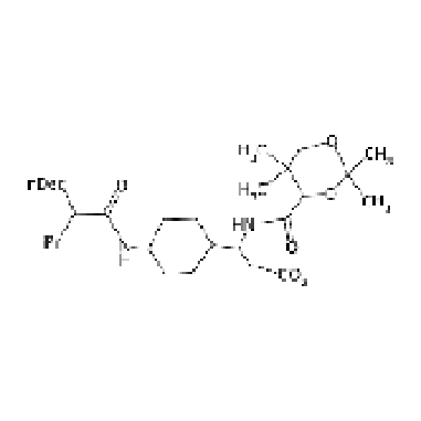 CCCCCCCCCCC(C(=O)NC1CCC(C(CC(=O)O)NC(=O)C2OC(C)(C)OCC2(C)C)CC1)C(C)C